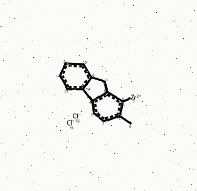 Cc1ccc2c([c]1[Zr+2])Cc1ccccc1-2.[Cl-].[Cl-]